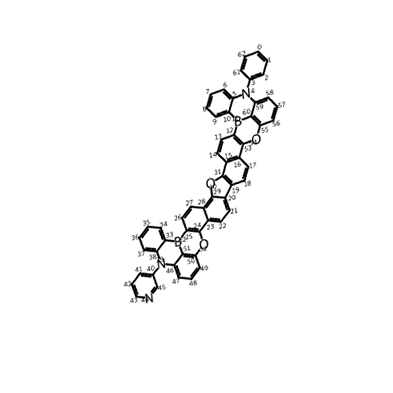 c1ccc(N2c3ccccc3B3c4ccc5c(ccc6c7ccc8c9c(ccc8c7oc56)B5c6ccccc6N(c6cccnc6)c6cccc(c65)O9)c4Oc4cccc2c43)cc1